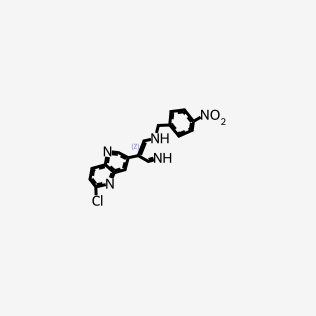 N=C/C(=C\NCc1ccc([N+](=O)[O-])cc1)c1cnc2ccc(Cl)nc2c1